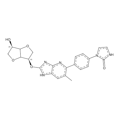 Cc1cc2[nH]c(O[C@@H]3COC4C3OC[C@H]4O)nc2nc1-c1ccc(-n2cc[nH]c2=O)cc1